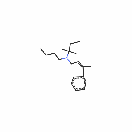 CCCCN(C/C=C(/C)c1ccccc1)C(C)(C)CC